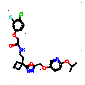 CC(C)Oc1ccc(OCc2nnc(C3(CCNC(=O)COc4ccc(Cl)c(F)c4)CCC3)o2)cn1